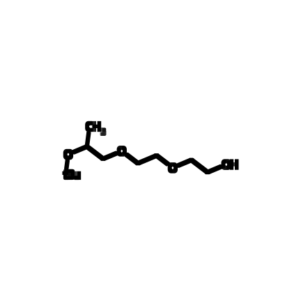 CC(COCCOCCO)OC(C)(C)C